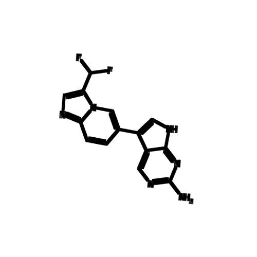 Nc1ncc2c(-c3ccc4ncc(C(F)F)n4c3)c[nH]c2n1